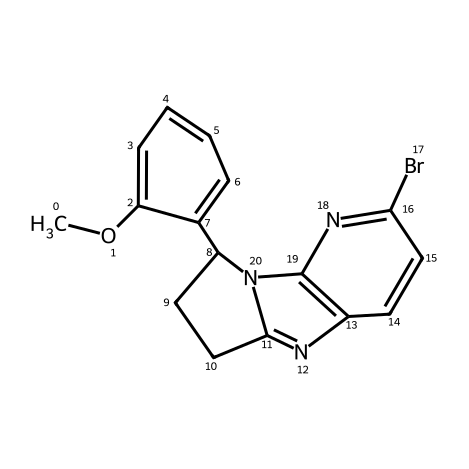 COc1ccccc1C1CCc2nc3ccc(Br)nc3n21